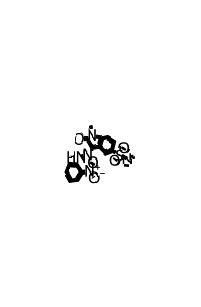 CN1C(=O)/C(=N\Nc2ccccc2[N+](=O)[O-])c2cc(S(=O)(=O)N(C)C)ccc21